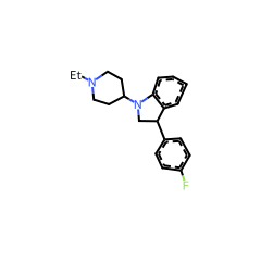 CCN1CCC(N2CC(c3ccc(F)cc3)c3ccccc32)CC1